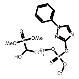 CCOP(=S)(OCC)Oc1ncn(-c2ccccc2)n1.COP(=O)(OC)C(O)C(Cl)(Cl)Cl